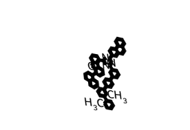 Cc1ccccc1-c1cccc(-c2ccc(-c3cccc(-c4nc(-c5ccc6c(ccc7ccccc76)c5)nc(-c5cccc6oc7c(-c8cccc9ccccc89)cccc7c56)n4)c3)cc2)c1C